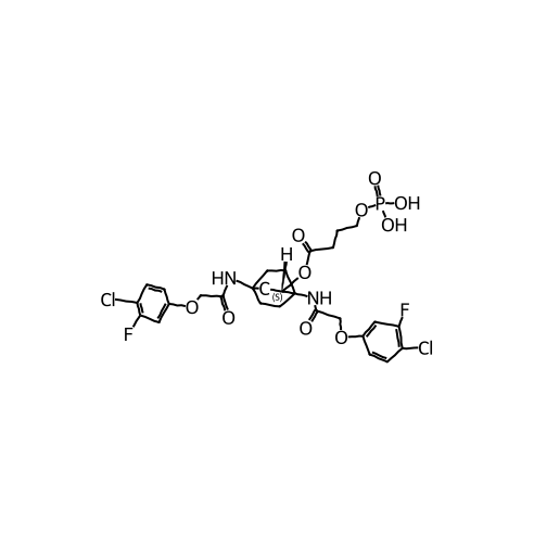 O=C(COc1ccc(Cl)c(F)c1)NC12CCC(NC(=O)COc3ccc(Cl)c(F)c3)(CC1)[C@@H](OC(=O)CCCOP(=O)(O)O)C2